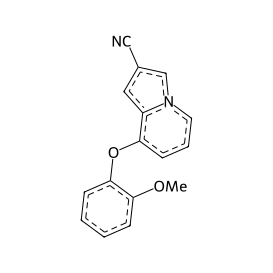 COc1ccccc1Oc1cccn2cc(C#N)cc12